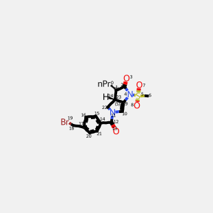 CCC[C@H]1C(=O)N(S(C)(=O)=O)C2=CN(C(=O)c3ccc(CBr)cc3)C[C@@H]21